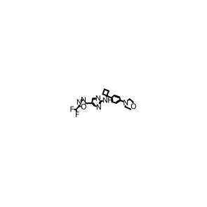 FC(F)c1nnc(-c2cnc(NC3(c4ccc(N5CCOCC5)cc4)CCC3)nc2)o1